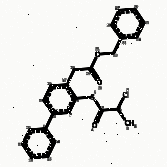 CC(Cl)C(=O)Sc1cc(-c2ccccc2)ccc1CC(=O)OCc1ccccc1